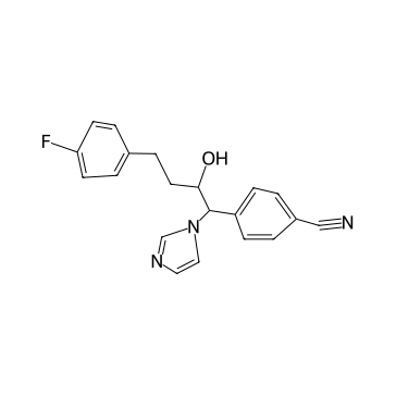 N#Cc1ccc(C(C(O)CCc2ccc(F)cc2)n2ccnc2)cc1